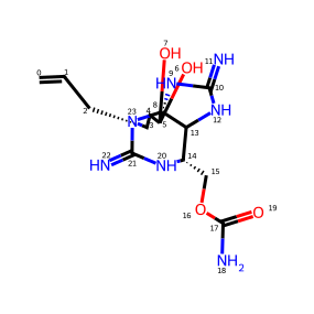 C=CC[C@H]1CC(O)(O)[C@]23NC(=N)NC2[C@H](COC(N)=O)NC(=N)N13